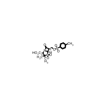 Cc1ccc(S(=O)(=O)OC[C@@H]2C(=O)N3[C@@H](C(=O)O)C(C)(C)S(=O)(=O)[C@H]23)cc1